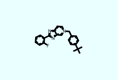 CC(C)(C)c1ccc(Cn2ccc3nc(-c4ccccc4F)nc-3c2)cc1